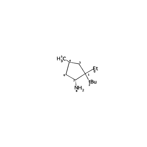 CCC1(C(C)(C)C)CC(C)C[C@H]1N